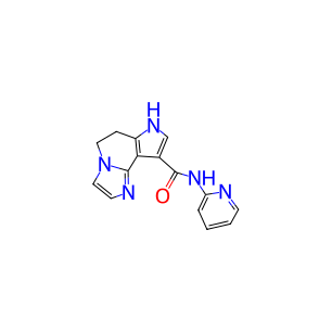 O=C(Nc1ccccn1)c1c[nH]c2c1-c1nccn1CC2